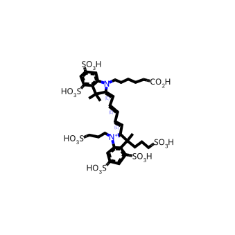 CC1(CCCS(=O)(=O)O)C(/C=C/C=C/C=C2/N(CCCCCC(=O)O)c3cc(S(=O)(=O)O)cc(S(=O)(=O)O)c3C2(C)C)=[N+](CCCS(=O)(=O)O)c2cc(S(=O)(=O)O)cc(S(=O)(=O)O)c21